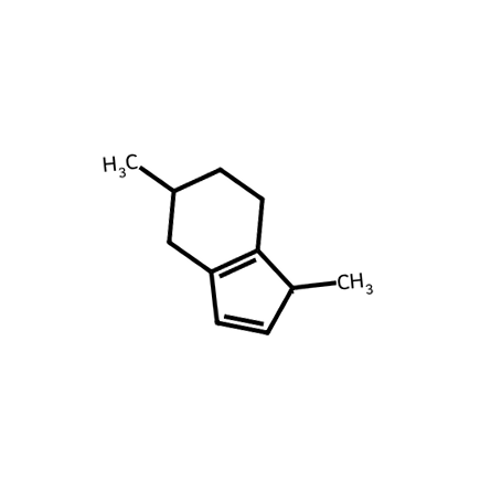 C[C]1C=CC2=C1CCC(C)C2